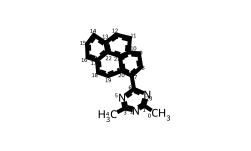 Cc1nc(C)nc(-c2ccc3ccc4cccc5ccc2c3c45)n1